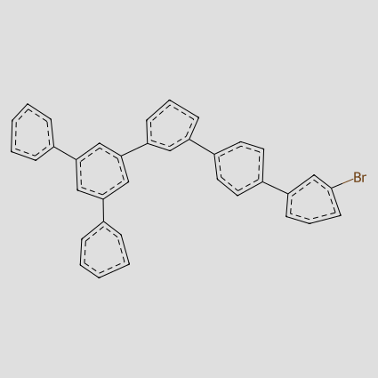 Brc1cccc(-c2ccc(-c3cccc(-c4cc(-c5ccccc5)cc(-c5ccccc5)c4)c3)cc2)c1